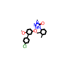 COc1ccc(OCc2c(C)cccc2-n2nnn(C)c2=O)cc1-c1ccc(Cl)cc1